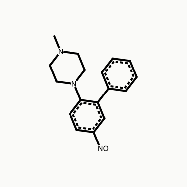 CN1CCN(c2ccc(N=O)cc2-c2ccccc2)CC1